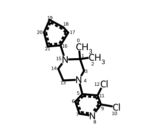 CC1(C)CN(c2ccnc(Cl)c2Cl)CCN1c1ccccc1